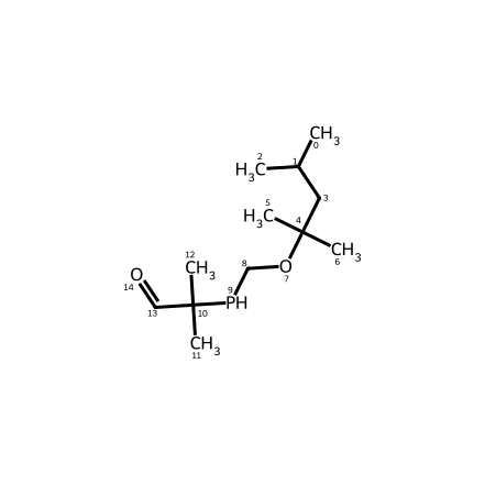 CC(C)CC(C)(C)OCPC(C)(C)C=O